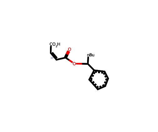 CCCCC(OC(=O)/C=C\C(=O)O)c1ccccc1